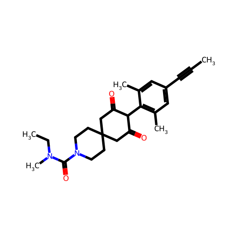 CC#Cc1cc(C)c(C2C(=O)CC3(CCN(C(=O)N(C)CC)CC3)CC2=O)c(C)c1